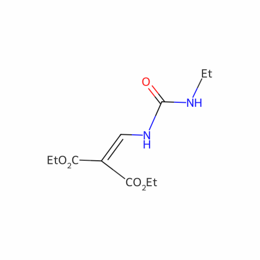 CCNC(=O)NC=C(C(=O)OCC)C(=O)OCC